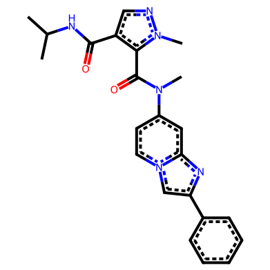 CC(C)NC(=O)c1cnn(C)c1C(=O)N(C)c1ccn2cc(-c3ccccc3)nc2c1